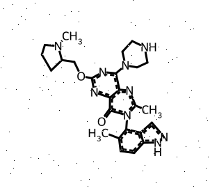 Cc1ccc2[nH]ncc2c1-n1c(C)nc2c(N3CCNCC3)nc(OCC3CCCN3C)nc2c1=O